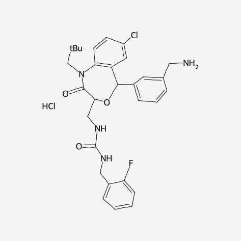 CC(C)(C)CN1C(=O)C(CNC(=O)NCc2ccccc2F)OC(c2cccc(CN)c2)c2cc(Cl)ccc21.Cl